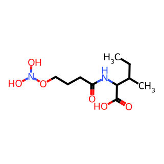 CCC(C)C(NC(=O)CCCON(O)O)C(=O)O